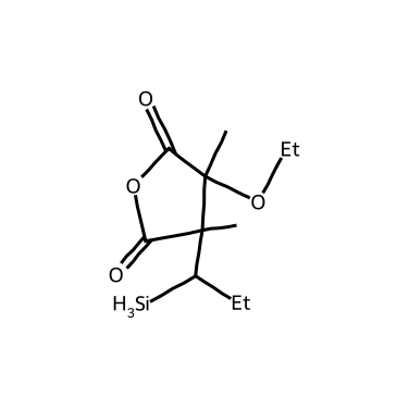 CCOC1(C)C(=O)OC(=O)C1(C)C([SiH3])CC